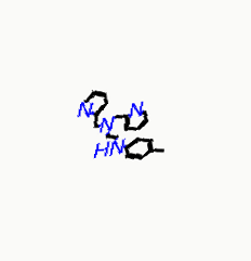 Cc1ccc(NCCN(Cc2ccccn2)Cc2ccccn2)cc1